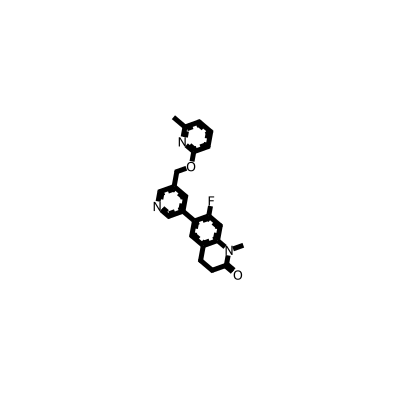 Cc1cccc(OCc2cncc(-c3cc4c(cc3F)N(C)C(=O)CC4)c2)n1